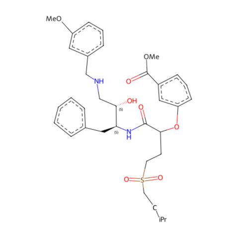 COC(=O)c1cccc(OC(CCS(=O)(=O)CCC(C)C)C(=O)N[C@@H](Cc2ccccc2)[C@@H](O)CNCc2cccc(OC)c2)c1